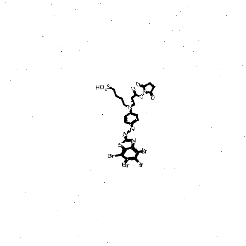 O=C(CCN(CCCCS(=O)(=O)O)c1ccc(N=Nc2nc3c(Br)c(Br)c(Br)c(Br)c3s2)cc1)ON1C(=O)CCC1=O